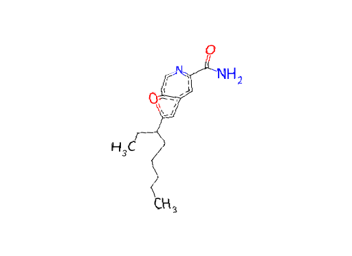 CCCCCC(CC)c1cc2cc(C(N)=O)ncc2o1